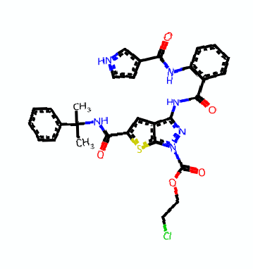 CC(C)(NC(=O)c1cc2c(NC(=O)c3ccccc3NC(=O)c3cc[nH]c3)nn(C(=O)OCCCl)c2s1)c1ccccc1